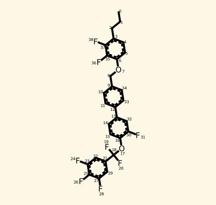 CCCc1ccc(OCc2ccc(-c3ccc(OC(F)(F)c4cc(F)c(F)c(F)c4)c(F)c3)cc2)c(F)c1F